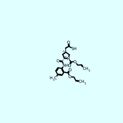 C=CCOC(=O)c1cc(C)ccc1NC(=O)[C@@H]1C[C@@H](CC(=O)S)CN1C(=O)OCC=C